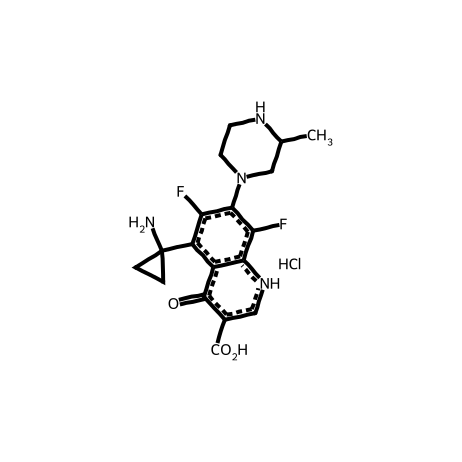 CC1CN(c2c(F)c(C3(N)CC3)c3c(=O)c(C(=O)O)c[nH]c3c2F)CCN1.Cl